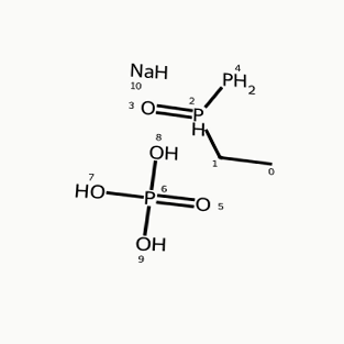 CC[PH](=O)P.O=P(O)(O)O.[NaH]